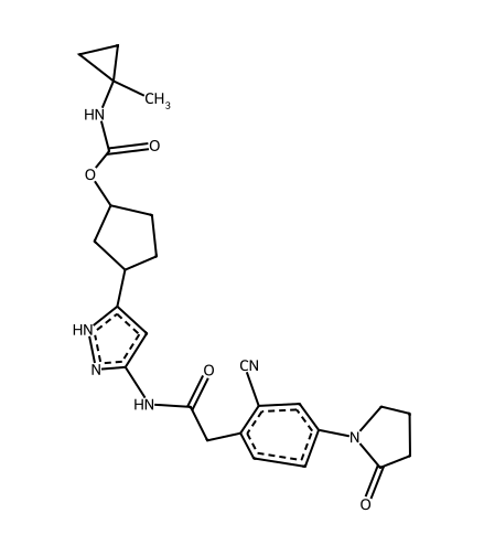 CC1(NC(=O)OC2CCC(c3cc(NC(=O)Cc4ccc(N5CCCC5=O)cc4C#N)n[nH]3)C2)CC1